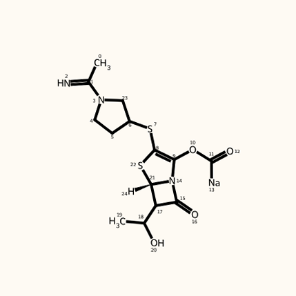 CC(=N)N1CCC(SC2=C(O[C](=O)[Na])N3C(=O)C(C(C)O)[C@@H]3S2)C1